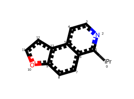 CC(C)c1nccc2c1ccc1occc12